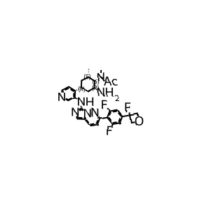 CC(=O)N(C)[C@@H]1[C@H](N)C[C@H](c2ccncc2Nc2ncc3ccc(-c4c(F)cc(C5(F)COC5)cc4F)nn23)C[C@@H]1C